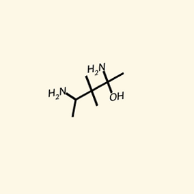 CC(N)C(C)(C)C(C)(N)O